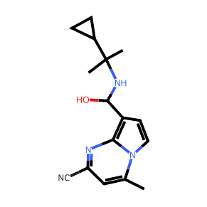 Cc1cc(C#N)nc2c(C(O)NC(C)(C)C3CC3)ccn12